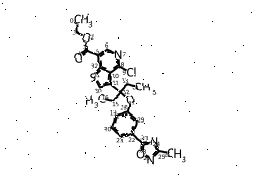 CCOC(=O)c1cnc(Cl)c2c(C(CC)(CC)Oc3cccc(-c4nc(C)no4)c3)csc12